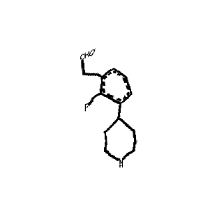 O=CCc1cccc(C2CCNCC2)c1F